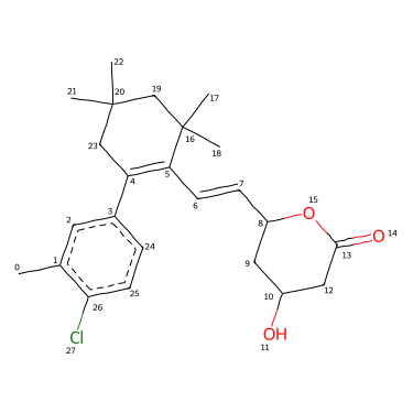 Cc1cc(C2=C(C=CC3CC(O)CC(=O)O3)C(C)(C)CC(C)(C)C2)ccc1Cl